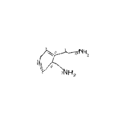 NCC1=CC=CC1N